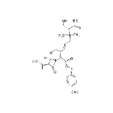 COc1ccc(COC(=O)C2=C(/C=C/C[N+](C)(C)[C@H](CO)C(N)=O)CS[C@@H]3[C@H](NC=O)C(=O)N23)cc1